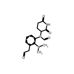 CN(C)c1c(CC=O)cccc1N(C=O)C1CCC(=O)NC1=O